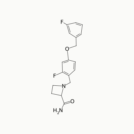 NC(=O)C1CCN1Cc1ccc(OCc2cccc(F)c2)cc1F